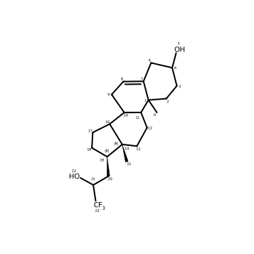 CC12CCC(O)CC1=CCC1C2CC[C@@]2(C)C1CC[C@@H]2CC(O)C(F)(F)F